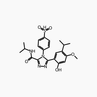 COc1cc(O)c(-c2nnc(C(=O)NC(C)C)n2-c2ccc([SH](=O)=O)cc2)cc1C(C)C